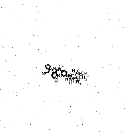 CN(c1ccc(S(=O)(=O)NC(C)(C)C(=O)OC(C)(C)C)cc1)c1nn(C2(CC#N)CCCC2)c2cc[nH]c(=O)c12